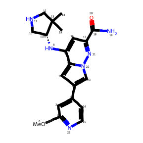 COc1cc(-c2cc3c(N[C@@H]4CNCC4(C)C)cc(C(N)=O)nn3c2)ccn1